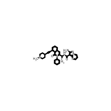 CC(NC(=O)c1c(N)nn2cccnc12)c1cc2cccc(C#CC3CCN(C)CC3)c2c(=O)n1-c1ccccc1